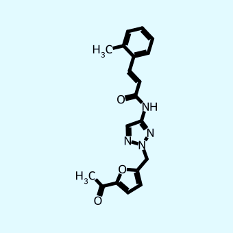 CC(=O)c1ccc(Cn2ncc(NC(=O)/C=C/c3ccccc3C)n2)o1